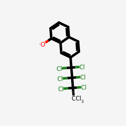 [O]c1cccc2ccc(C(Cl)(Cl)C(Cl)(Cl)C(Cl)(Cl)C(Cl)(Cl)Cl)cc12